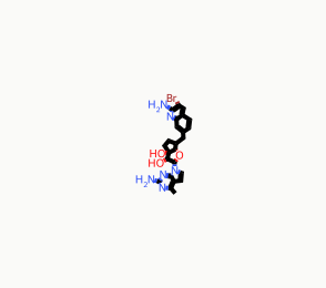 Cc1nc(N)nc2c1ccn2C1OC2C(Cc3ccc4cc(Br)c(N)nc4c3)CCC2(O)C1O